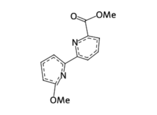 COC(=O)c1cccc(-c2cccc(OC)n2)n1